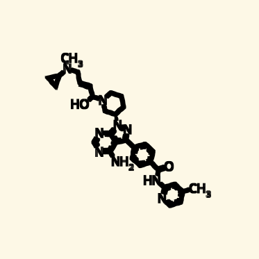 Cc1ccnc(NC(=O)c2ccc(-c3nn([C@@H]4CCCN(C(O)/C=C/CN(C)C5CC5)C4)c4ncnc(N)c34)cc2)c1